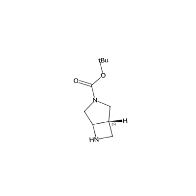 CC(C)(C)OC(=O)N1CC2NC[C@H]2C1